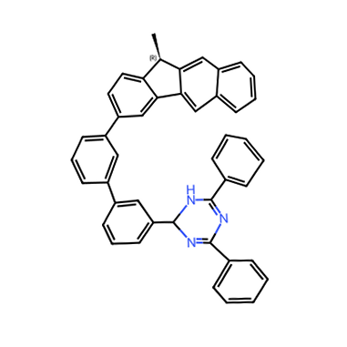 C[C@@H]1c2ccc(-c3cccc(-c4cccc(C5N=C(c6ccccc6)N=C(c6ccccc6)N5)c4)c3)cc2-c2cc3ccccc3cc21